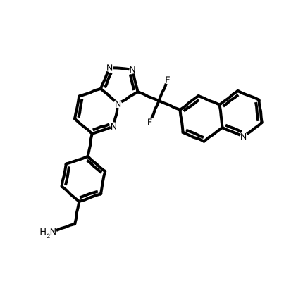 NCc1ccc(-c2ccc3nnc(C(F)(F)c4ccc5ncccc5c4)n3n2)cc1